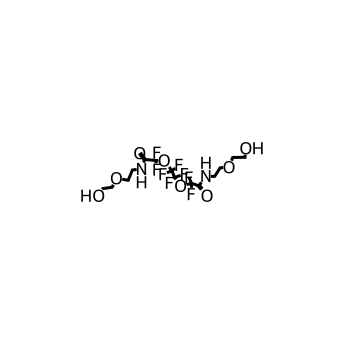 O=C(NCCOCCO)C(F)(F)OC(F)(F)C(F)(F)OC(F)(F)C(=O)NCCOCCO